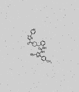 Cc1ccc(-n2nc(C(C)(C)C)cc2NC(=O)Nc2ccccc2CC2CCN(C(=O)c3csc(-c4ccncc4)n3)CC2)cc1